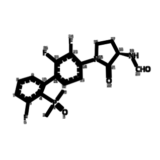 CP(C)(=O)c1c(F)cccc1-c1ccc(N2CC[C@@H](NC=O)C2=O)c(F)c1F